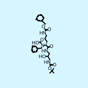 CC(C)(C)OC(=O)NCC(O)CNC(=O)[C@H](CCCNC(=O)OCc1ccccc1)N(Cc1ccccc1)C(=O)O